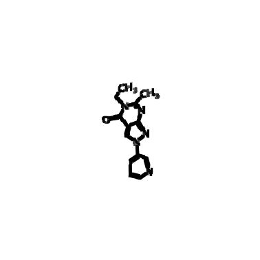 CCn1c(C)nc2nn(-c3cccnc3)cc2c1=O